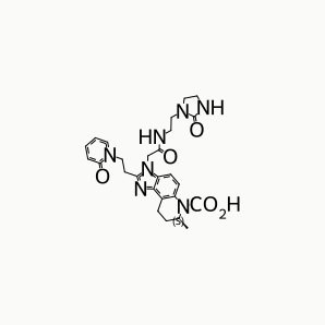 C[C@H]1CCc2c(ccc3c2nc(CCn2ccccc2=O)n3CC(=O)NCCN2CCNC2=O)N1C(=O)O